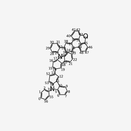 c1ccc(-n2c3ccccc3c3cc(-c4ccc5c(c4)c4ccccc4n5-c4ccccc4-c4ccc5c(c4)c4cccc6oc7cccc5c7c64)ccc32)cc1